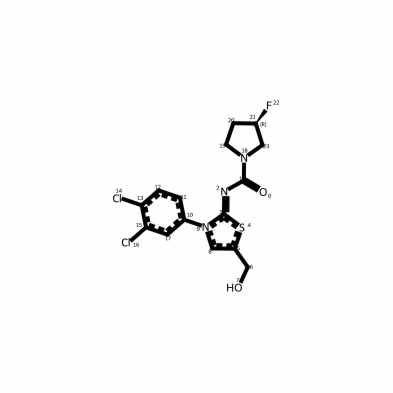 O=C(N=c1sc(CO)cn1-c1ccc(Cl)c(Cl)c1)N1CC[C@@H](F)C1